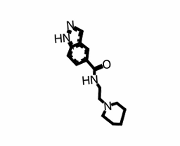 O=C(NCCN1CCCCC1)c1ccc2[nH]ncc2c1